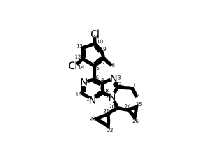 CCc1nc2c(-c3c(C)cc(Cl)cc3Cl)ncnc2n1C(C1CC1)C1CC1